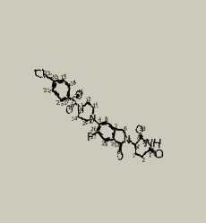 O=C1CCC(N2Cc3cc(N4CCN(S(=O)(=O)c5ccc(Cl)cc5)CC4)c(F)cc3C2=O)C(=O)N1